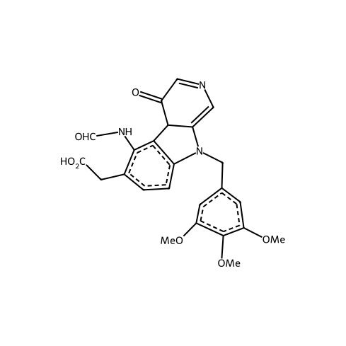 COc1cc(CN2C3=CN=CC(=O)C3c3c2ccc(CC(=O)O)c3NC=O)cc(OC)c1OC